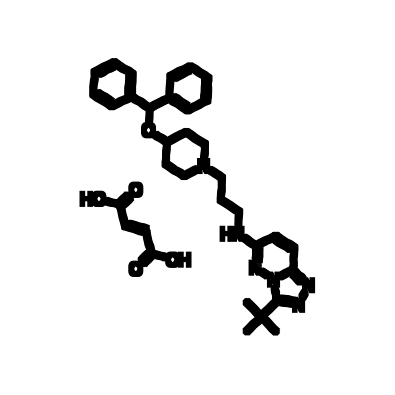 CC(C)(C)c1nnc2ccc(NCCCN3CCC(OC(c4ccccc4)c4ccccc4)CC3)nn12.O=C(O)C=CC(=O)O